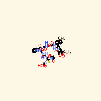 CC[C@@]1(O)C(=O)OCc2c1cc1n(c2=O)Cc2c-1nc1cc(F)c(C)c3c1c2[C@@H](NC(=O)COCNC(=O)CNC(=O)[C@H](Cc1ccccc1)NC(=O)CNC(=O)CNC(=O)[C@]1(CNCC(=O)O)SC1N1C(=O)C=CC1=O)CC3